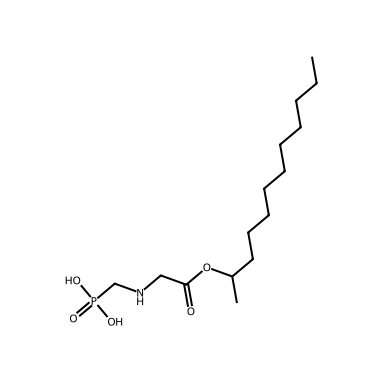 CCCCCCCCCCC(C)OC(=O)CNCP(=O)(O)O